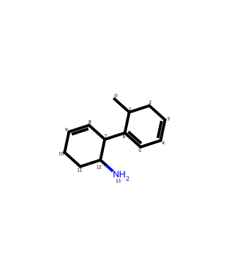 CC1CC=CC=C1C1C=CCCC1N